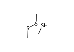 CS.CSSC